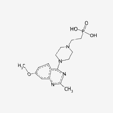 COc1ccc2c(N3CCN(CCP(=O)(O)O)CC3)nc(C)nc2c1